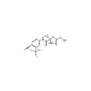 [C-]#[N+]c1ccc(NC(=O)C2(C)CC(CO)=NN2)cc1C(F)(F)F